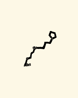 CCCCCCCCOCCCNCCCN1CCCC1